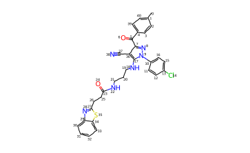 Cc1ccc(C(=O)c2nn(-c3ccc(Cl)cc3)c(NCCCNC(=O)CCc3nc4ccccc4s3)c2C#N)cc1